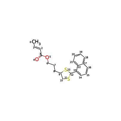 CC=CC(=O)OCCCC1CSC(c2cccc3ccccc23)S1